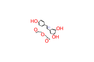 C(OCC1CO1)C1CO1.Oc1ccc(/C=C/c2cc(O)cc(O)c2)cc1